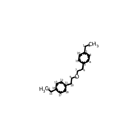 CCc1ccc(CCOCCc2ccc(CC)cc2)cc1